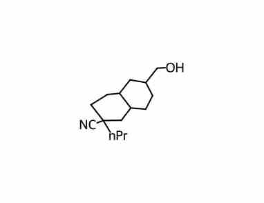 CCCC1(C#N)CCC2CC(CO)CCC2C1